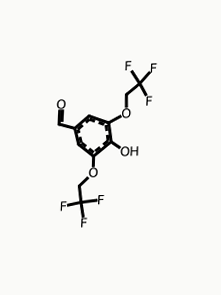 O=Cc1cc(OCC(F)(F)F)c(O)c(OCC(F)(F)F)c1